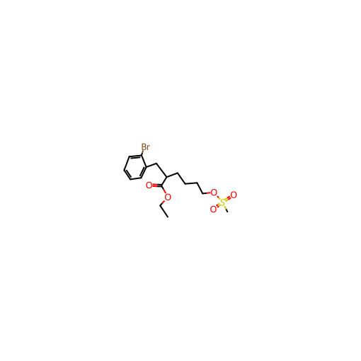 CCOC(=O)C(CCCCOS(C)(=O)=O)Cc1ccccc1Br